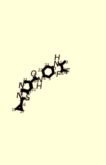 CC(NC1CCC(NC(=O)c2cnc3nc(C4CC4)sc3c2)CC1)C(F)F